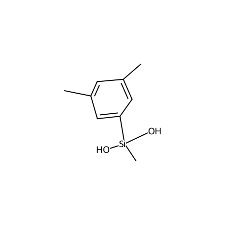 Cc1cc(C)cc([Si](C)(O)O)c1